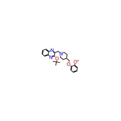 COc1ccccc1OCC1CCN(Cc2nc3ccccc3nc2OC(C)(C)C)CC1